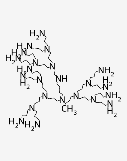 C[C@@H](CCN(CCCN(CCCN)CCCN)CCCN(CCCN)CCCN)N(CCCCNCCN(CCCN(CCCN)CCCN)CCCN(CCCN)CCCN)CCCN(CCCN(CCCN)CCCN)CCCN(CCCN)CCCN